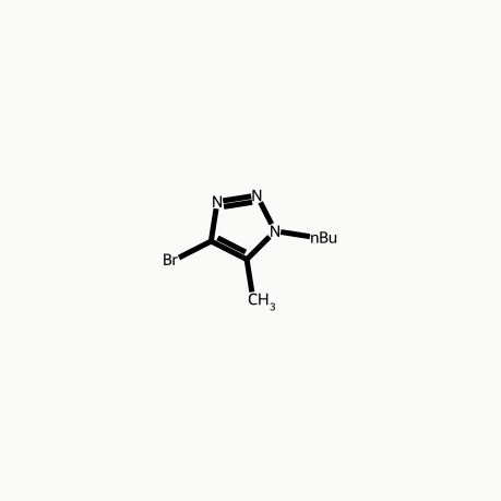 CCCCn1nnc(Br)c1C